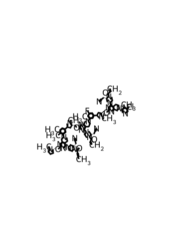 C=CC(=O)N1CCN(c2nc(OC[C@@H]3CC(c4cc(C)c(C)c(N5CCc6c(nc(OC[C@@H]7CCCN7C)nc6N6CCN(C(=O)C#CC)[C@@H](CC#N)C6)C5)c4)CN3C)nc3c2CCN(c2cc(C4C[C@@H](COc5nc6c(c(N7CCN(C(=O)C=C)[C@@H](CC#N)C7)n5)CCN(c5cncc(Cl)c5C)C6)N(C)C4)cc(F)c2C)C3)C[C@@H]1CC#N